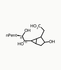 CCCCC[C@@H](O)[C@@H](O)C1C2CC(O)C(CC(=O)O)C21